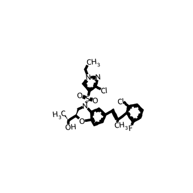 CCn1cc(S(=O)(=O)N2C[C@H]([C@@H](C)O)Oc3ccc(/C=C(\C)c4c(F)cccc4Cl)cc32)c(Cl)n1